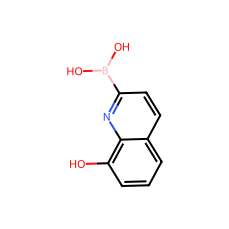 OB(O)c1ccc2cccc(O)c2n1